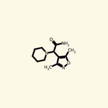 Cc1noc(C)c1C(C(N)=O)N1CCCCC1